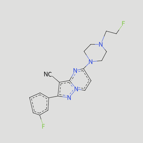 N#Cc1c(-c2cccc(F)c2)nn2ccc(N3CCN(CCF)CC3)nc12